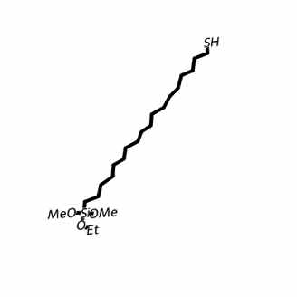 CCO[Si](CCCCCCCCCCCCCCCCCCS)(OC)OC